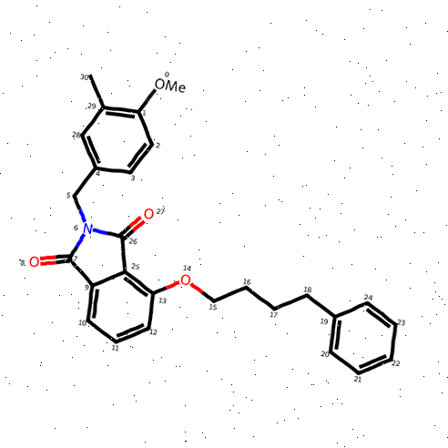 COc1ccc(CN2C(=O)c3cccc(OCCCCc4ccccc4)c3C2=O)cc1C